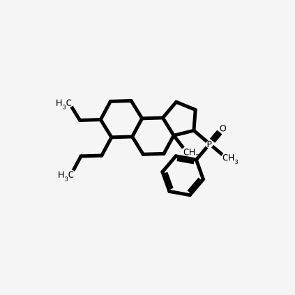 CCCC1C(CC)CCC2C1CCC1(C)C2CCC1P(C)(=O)c1ccccc1